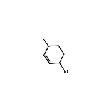 CCC1C=CC(C)CC1